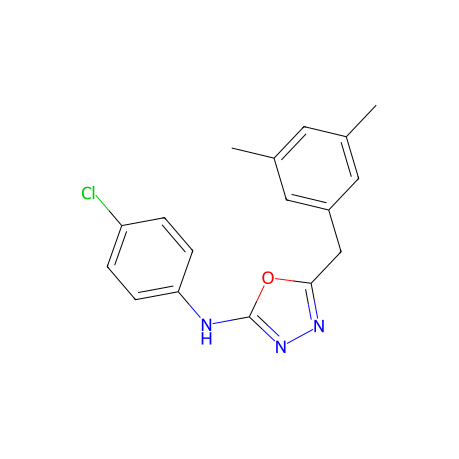 Cc1cc(C)cc(Cc2nnc(Nc3ccc(Cl)cc3)o2)c1